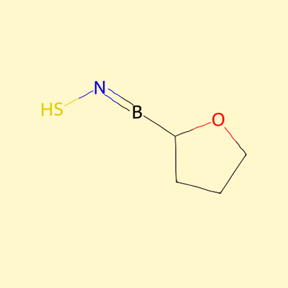 S/N=B/C1CCCO1